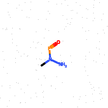 CN(N)P=O